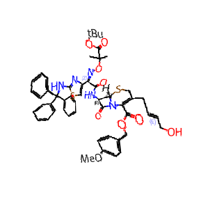 COc1ccc(COC(=O)C2=C(C/C=C/CO)CS[C@H]3[C@H](NC(=O)/C(=N\OC(C)(C)C(=O)OC(C)(C)C)c4csc(NC(c5ccccc5)(c5ccccc5)c5ccccc5)n4)C(=O)N23)cc1